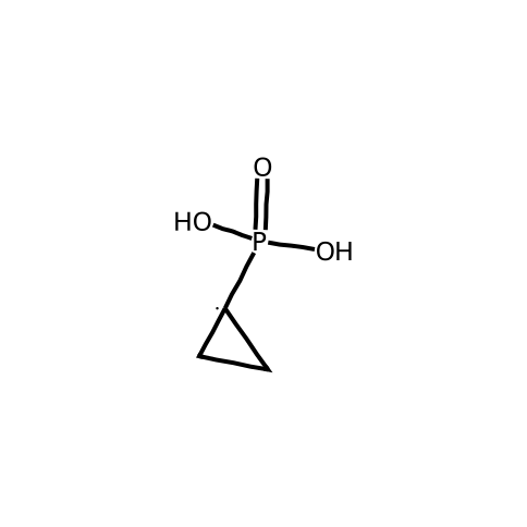 O=P(O)(O)[C]1CC1